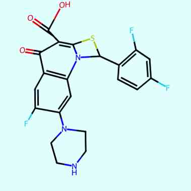 O=C(O)c1c2n(c3cc(N4CCNCC4)c(F)cc3c1=O)C(c1ccc(F)cc1F)S2